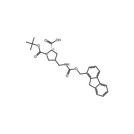 CC(C)(C)OC(=O)N1CC(CNC(=O)OCc2cccc3c2Cc2ccccc2-3)C[C@H]1C(=O)O